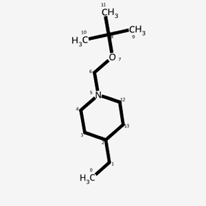 CCC1CCN(COC(C)(C)C)CC1